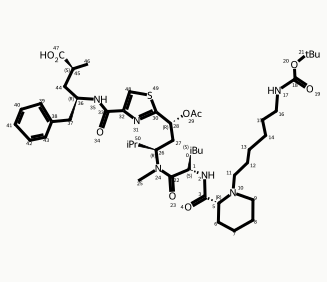 CC[C@H](C)[C@H](NC(=O)[C@H]1CCCCN1CCCCCCNC(=O)OC(C)(C)C)C(=O)N(C)[C@H](C[C@@H](OC(C)=O)c1nc(C(=O)N[C@@H](Cc2ccccc2)C[C@H](C)C(=O)O)cs1)C(C)C